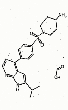 CC(C)c1cc2c(-c3ccc(S(=O)(=O)N4CCC(N)CC4)cc3)ccnc2[nH]1.O=CO